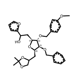 COc1ccc(CO[C@@H]2[C@@H](OCc3ccccc3)[C@@H](CC3COC(C)(C)O3)O[C@H]2CC(O)c2ccco2)cc1